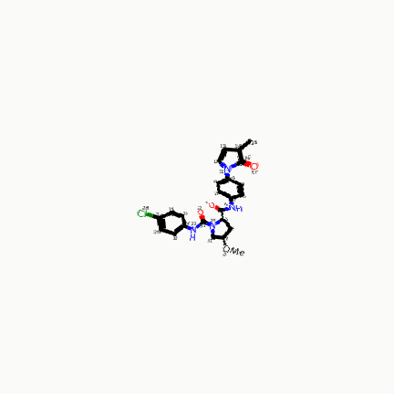 CO[C@@H]1C[C@H](C(=O)Nc2ccc(N3C=CC(C)C3=O)cc2)N(C(=O)Nc2ccc(Cl)cc2)C1